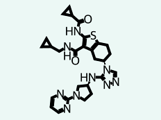 O=C(NCC1CC1)c1c(NC(=O)C2CC2)sc2c1C[C@@H](n1cnnc1N[C@H]1CCN(c3ncccn3)C1)CC2